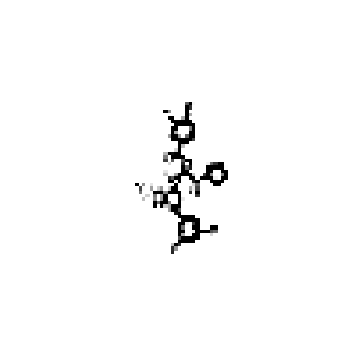 NN1NC(c2cc(F)cc(F)c2)CC1N/C(=N\C(=O)c1ccc(F)c(F)c1)NC1CCCC1